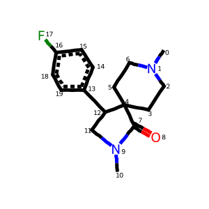 CN1CCC2(CC1)C(=O)N(C)CC2c1ccc(F)cc1